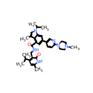 Cc1cc(C(C)C)c(CNC(=O)c2cc(-c3ccc(N4CCN(C)CC4)nc3)cc3c2c(C)cn3C(C)C)c(=O)[nH]1